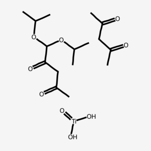 CC(=O)CC(=O)C(OC(C)C)OC(C)C.CC(=O)CC(C)=O.[O]=[Ti]([OH])[OH]